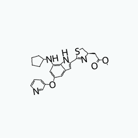 COC(=O)C[C@@H]1CSC(c2cc3cc(Oc4cccnc4)cc(NC4CCCC4)c3[nH]2)=N1